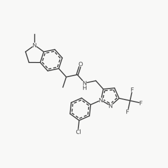 CC(C(=O)NCc1cc(C(F)(F)F)nn1-c1cccc(Cl)c1)c1ccc2c(c1)CCN2C